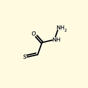 NNC(=O)C=S